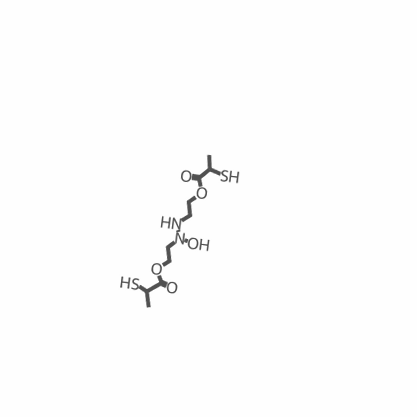 CC(S)C(=O)OCCNN(O)CCOC(=O)C(C)S